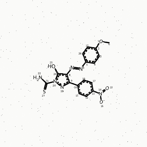 COc1ccc(/N=N/c2c(-c3ccc([N+](=O)[O-])cc3)nn(C(N)=S)c2O)cc1